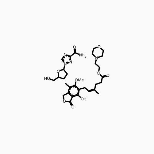 COc1c(C)c2c(c(O)c1CC=C(C)CCC(=O)OCCN1CCOCC1)C(=O)OC2.NC(=O)c1ncn(C2CCC(CO)O2)n1